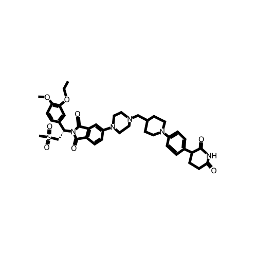 CCOc1cc([C@@H](CS(C)(=O)=O)N2C(=O)c3ccc(N4CCN(CC5CCN(c6ccc(C7CCC(=O)NC7=O)cc6)CC5)CC4)cc3C2=O)ccc1OC